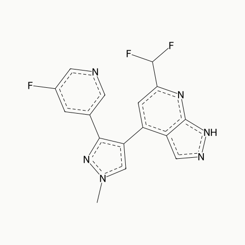 Cn1cc(-c2cc(C(F)F)nc3[nH]ncc23)c(-c2cncc(F)c2)n1